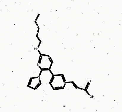 CCCCCNc1ncc(-c2cccc(C=CC(=O)O)c2)c(-n2cccc2)n1